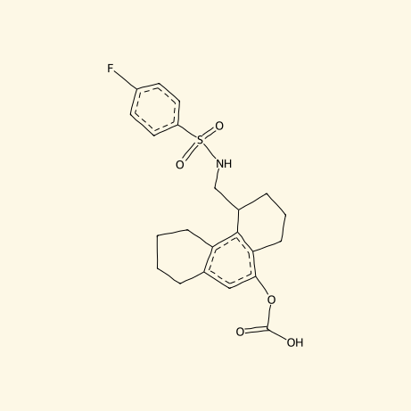 O=C(O)Oc1cc2c(c3c1CCCC3CNS(=O)(=O)c1ccc(F)cc1)CCCC2